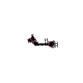 O=C(Nc1c(F)cc(F)cc1-c1ccccc1)OC1CCN(CCCCCCCCCNC[C@@H](O)c2ccc(O)c3[nH]c(=O)ccc23)CC1